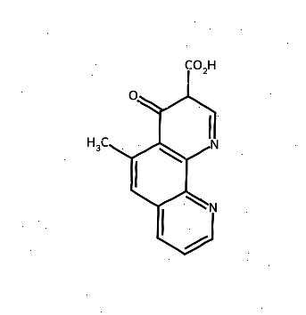 Cc1cc2cccnc2c2c1C(=O)C(C(=O)O)C=N2